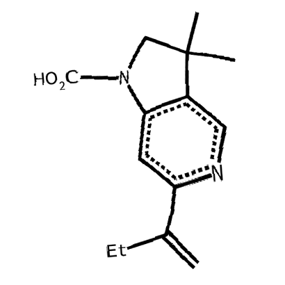 C=C(CC)c1cc2c(cn1)C(C)(C)CN2C(=O)O